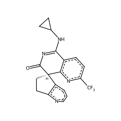 O=C1N=C(NC2CC2)c2ccc(C(F)(F)F)nc2[C@]12CCc1ncccc12